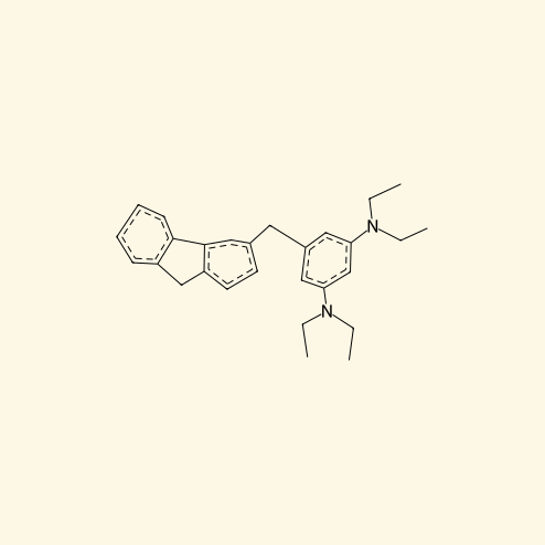 CCN(CC)c1cc(Cc2ccc3c(c2)-c2ccccc2C3)cc(N(CC)CC)c1